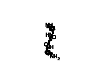 NCc1cccc(CNC(=O)CCCCC(=O)NCc2cccc(CN)c2)c1